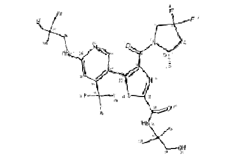 C[C@H]1CC(F)(F)CN1C(=O)c1nc(C(=O)NC(C)(C)CO)sc1-c1cnc(NCC(C)(C)C)cc1C(F)(F)F